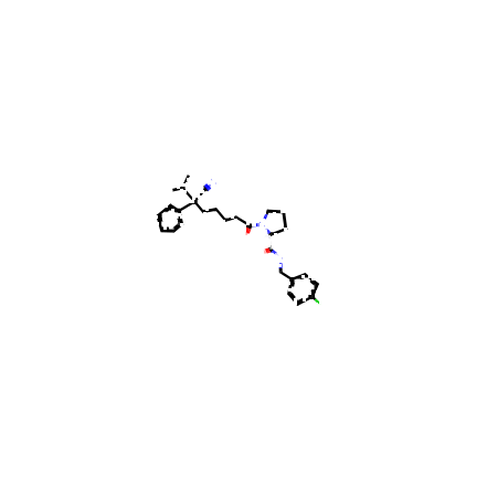 CC(C)C(C#N)(CCCCC(=O)N1CCC[C@@H]1C(=O)NCc1ccc(Cl)cc1)c1ccccc1